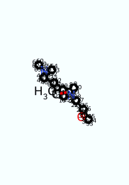 CC1(C)c2ccc(-c3ccccc3N(c3ccccc3)c3ccc(-c4ccc5c(c4)oc4ccccc45)cc3)cc2-c2ccc(-c3cccc4c3c3ccccc3n4-c3ccccc3)cc21